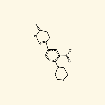 O=C1CCC(c2ccc(N3CCOCC3)c([N+](=O)[O-])c2)=NN1